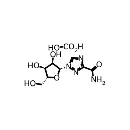 NC(=O)c1ncn([C@@H]2O[C@H](CO)[C@@H](O)[C@H]2O)n1.O=C(O)O